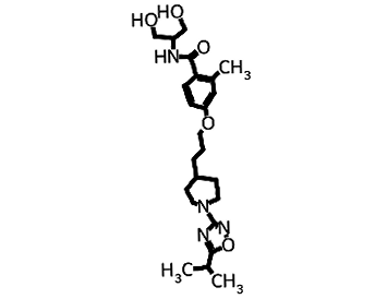 Cc1cc(OCCCC2CCN(c3noc(C(C)C)n3)CC2)ccc1C(=O)NC(CO)CO